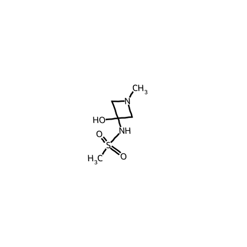 CN1CC(O)(NS(C)(=O)=O)C1